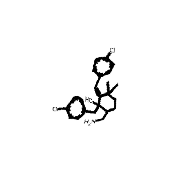 CC1(C)CCC(CN)C(O)(Cc2ccc(Cl)cc2)C1=Cc1ccc(Cl)cc1